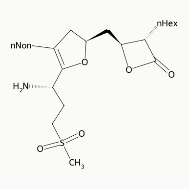 CCCCCCCCCC1=C([C@@H](N)CCS(C)(=O)=O)O[C@H](C[C@@H]2OC(=O)[C@H]2CCCCCC)C1